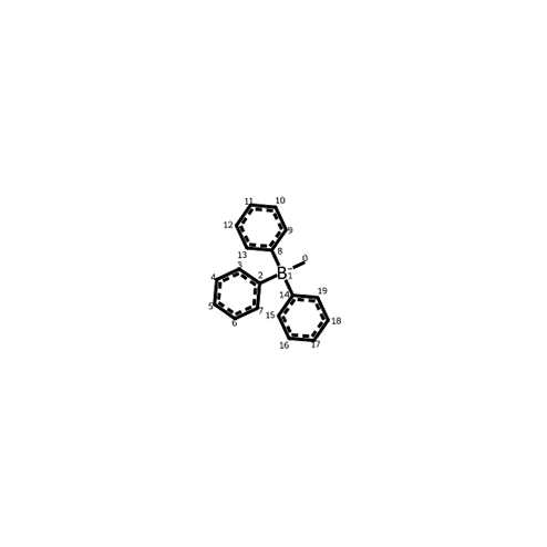 C[B-](c1ccccc1)(c1ccccc1)c1ccccc1